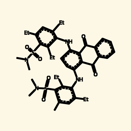 CCc1cc(C)c(S(=O)(=O)N(C)C)c(CC)c1Nc1ccc(Nc2c(CC)cc(CC)c(S(=O)(=O)N(C)C)c2CC)c2c1C(=O)c1ccccc1C2=O